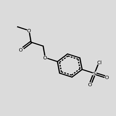 COC(=O)COc1ccc(S(=O)(=O)Cl)cc1